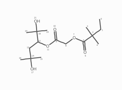 CCC(C)(C)C(=O)OCC(=O)OC(CC(C)(C)O)C(C)(C)O